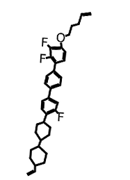 C=CCCCOc1ccc(-c2ccc(-c3ccc(C4CCC(C5CCC(C=C)CC5)CC4)c(F)c3)cc2)c(F)c1F